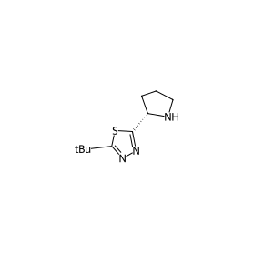 CC(C)(C)c1nnc([C@@H]2CCCN2)s1